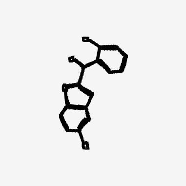 Clc1ccc2oc(C(Cl)c3ccccc3Cl)cc2c1